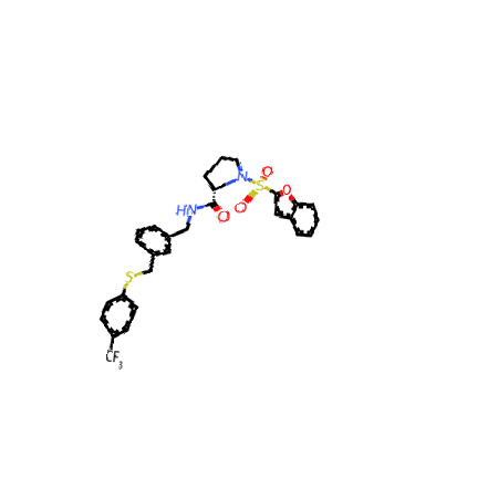 O=C(NCc1cccc(CSc2ccc(C(F)(F)F)cc2)c1)[C@@H]1CCCN1S(=O)(=O)c1cc2ccccc2o1